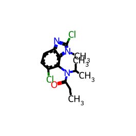 CCC(=O)N(c1c(Cl)ccc2nc(Cl)n(C)c12)C(C)C